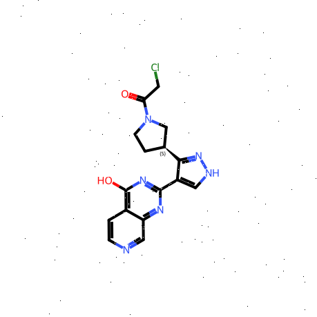 O=C(CCl)N1CC[C@H](c2n[nH]cc2-c2nc(O)c3ccncc3n2)C1